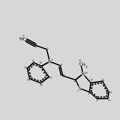 C#CCN(C=CC1Sc2ccccc2N1C)c1ccccc1